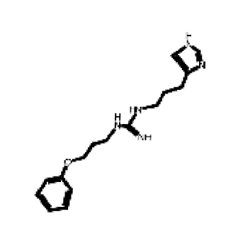 N=C(NCCCOc1ccccc1)NCCCc1c[nH]cn1